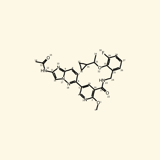 COc1ncc(-c2ccc3nc(NC(C)=O)cn3n2)cc1C(=O)NCc1cccc(F)c1OC(C)C1CC1